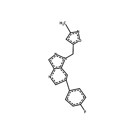 Cc1cc(Cn2ncc3ncc(-c4ccc(F)cc4)cc32)on1